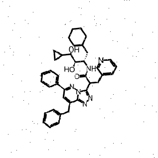 O=C(N[C@@H](CC1CCCCC1)[C@@H](O)[C@@H](O)C1CC1)C(Cc1cccnc1)c1nnc2c(Cc3ccccc3)cc(-c3ccccc3)nn12